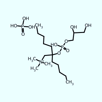 CCCCCC(CCCCC)(C[N+](C)(C)C)OP(=O)(O)OCC(O)CO.O=P(O)(O)O